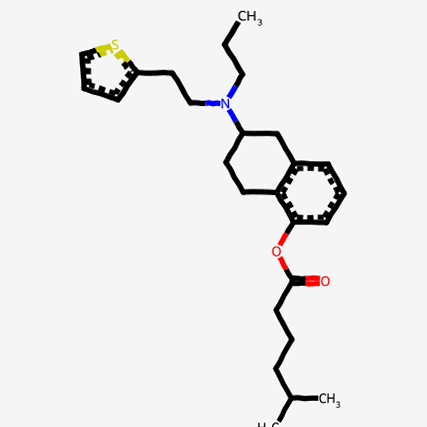 CCCN(CCc1cccs1)C1CCc2c(cccc2OC(=O)CCCC(C)C)C1